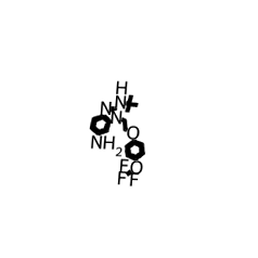 CC(C)(C)Nc1nc2ccc(N)cc2n1CCOc1ccc(OC(F)(F)F)cc1